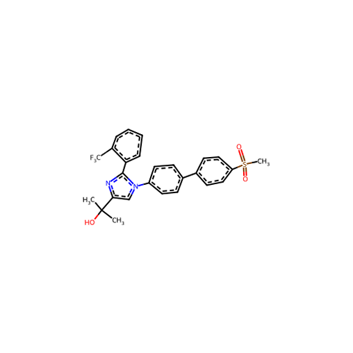 CC(C)(O)c1cn(-c2ccc(-c3ccc(S(C)(=O)=O)cc3)cc2)c(-c2ccccc2C(F)(F)F)n1